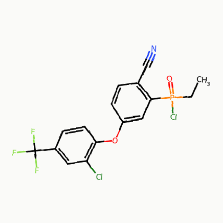 CCP(=O)(Cl)c1cc(Oc2ccc(C(F)(F)F)cc2Cl)ccc1C#N